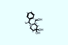 C[C@@H](c1ccccc1)N1CCC(O)(O)C[C@@H]1CO